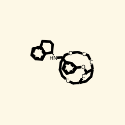 c1cc(CN[C@H]2CCCc3ccccc32)cc(OC2CC3CCCCCCCCCCCC2CC3)c1